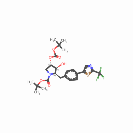 CC(C)(C)OC(=O)O[C@H]1CN(C(=O)OC(C)(C)C)[C@H](Cc2ccc(-c3cnc(C(F)(F)F)s3)cc2)[C@@H]1O